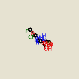 O=C(CC1CCS(=O)(=O)S1)Nc1cc2c(Nc3ccc(OCc4cccc(F)c4)c(Cl)c3)ncnc2cc1OCC(O)CO